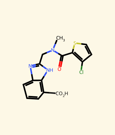 CN(Cc1nc2cccc(C(=O)O)c2[nH]1)C(=O)c1sccc1Cl